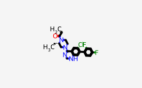 C=CC(=O)N1CCN(C2=NCNc3cc(-c4ccc(F)cc4F)c(Cl)cc32)C[C@@H]1CC